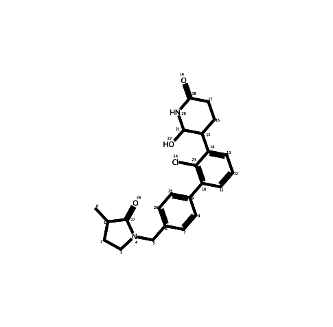 CC1CCN(Cc2ccc(-c3cccc(C4CCC(=O)NC4O)c3Cl)cc2)C1=O